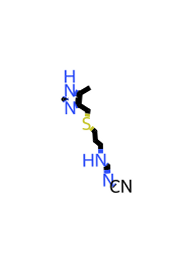 Cc1[nH]cnc1CSCCCN/C=N/C#N